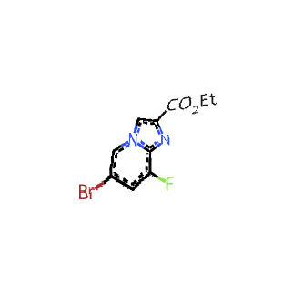 CCOC(=O)c1cn2cc(Br)cc(F)c2n1